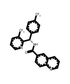 O=C(N[C@@H](c1ccc(C(F)(F)F)cc1)c1ncccc1C(F)(F)F)c1ccc2ncccc2c1